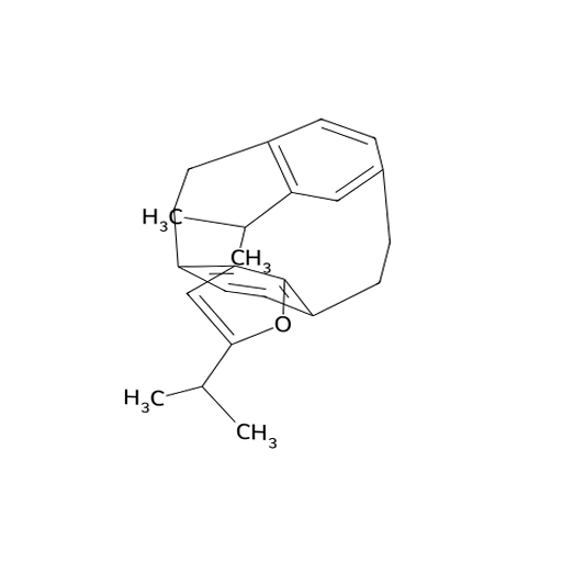 CC(C)c1cc2c3ccc(c2o1)CCc1ccc(c(C(C)C)c1)CC3